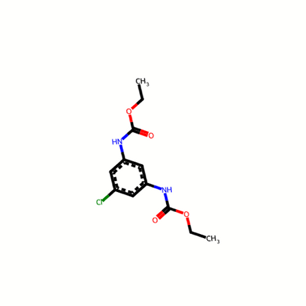 CCOC(=O)Nc1cc(Cl)cc(NC(=O)OCC)c1